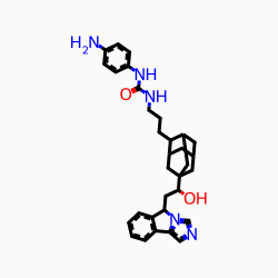 Nc1ccc(NC(=O)NCCCC2C3CC4CC2CC(C(O)CC2c5ccccc5-c5cncn52)(C4)C3)cc1